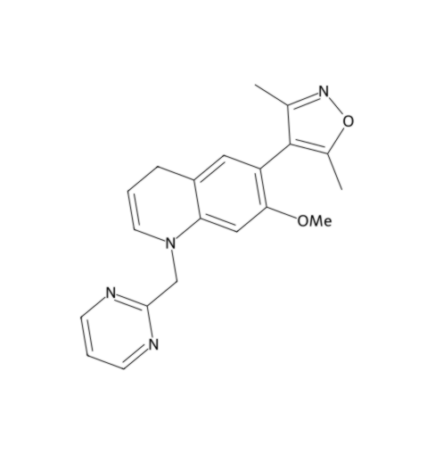 COc1cc2c(cc1-c1c(C)noc1C)CC=CN2Cc1ncccn1